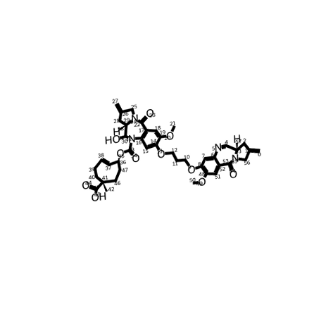 C=C1C[C@H]2C=Nc3cc(OCCCOc4cc5c(cc4OC)C(=O)N4CC(=C)C[C@H]4C(O)N5C(=O)O[C@H]4/C=C/CC[C@@](C)(C(=O)O)CC4)c(OC)cc3C(=O)N2C1